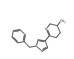 CC1CCC(c2cnn(Cc3ccccc3)c2)=NC1